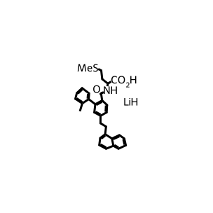 CSCCC(NC(=O)c1ccc(CCc2cccc3ccccc23)cc1-c1ccccc1C)C(=O)O.[LiH]